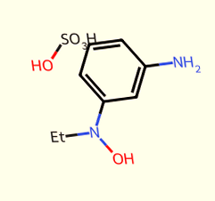 CCN(O)c1cccc(N)c1.O=S(=O)(O)O